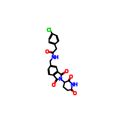 O=C(Cc1ccc(Cl)cc1)NCc1ccc2c(c1)C(=O)N(C1CCC(=O)NC1=O)C2=O